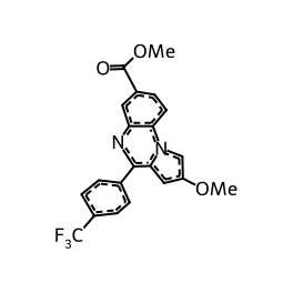 COC(=O)c1ccc2c(c1)nc(-c1ccc(C(F)(F)F)cc1)c1cc(OC)cn12